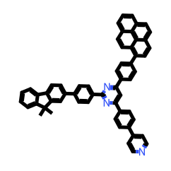 CC1(C)c2ccccc2-c2ccc(-c3ccc(-c4nc(-c5ccc(-c6ccncc6)cc5)cc(-c5ccc(-c6ccc7ccc8cccc9ccc6c7c89)cc5)n4)cc3)cc21